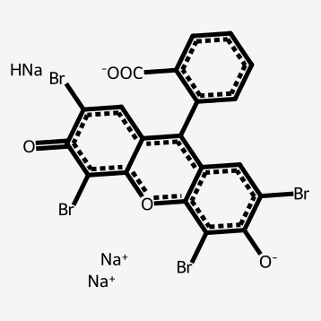 O=C([O-])c1ccccc1-c1c2cc(Br)c(=O)c(Br)c-2oc2c(Br)c([O-])c(Br)cc12.[Na+].[Na+].[NaH]